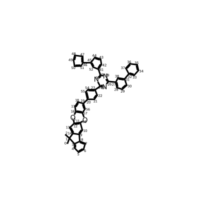 CC1(C)c2ccccc2-c2cc3c(cc21)Oc1ccc(-c2ccc(-c4nc(-c5cccc(-c6ccccc6)c5)nc(-c5cccc(-c6ccccc6)c5)n4)cc2)cc1O3